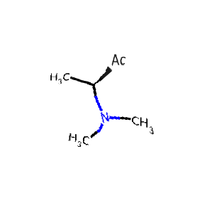 CC(=O)[C@H](C)N(C)C